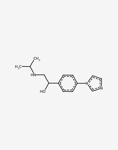 CC(C)NCC(O)c1ccc(-n2ccnc2)cc1